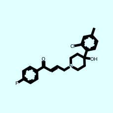 Cc1ccc(C2(O)CCN(CC=CC(=O)c3ccc(F)cc3)CC2)c(Cl)c1